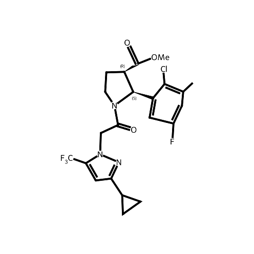 COC(=O)[C@@H]1CCN(C(=O)Cn2nc(C3CC3)cc2C(F)(F)F)[C@@H]1c1cc(F)cc(C)c1Cl